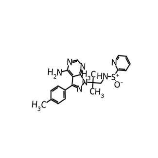 Cc1ccc(-c2nn(C(C)(C)CN[S+]([O-])c3ccccn3)c3ncnc(N)c23)cc1